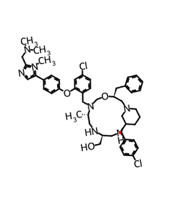 C[C@H]1CN[C@H](CO)CN[C@@]2(Cc3ccc(Cl)cc3)CCCN(C[C@H](Cc3ccccc3)OCN1Cc1ccc(Cl)cc1Oc1ccc(-c3cnc(CN(C)C)n3C)cc1)C2